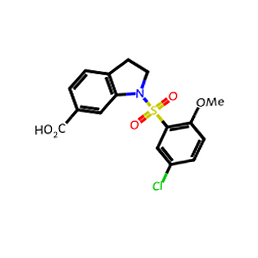 COc1ccc(Cl)cc1S(=O)(=O)N1CCc2ccc(C(=O)O)cc21